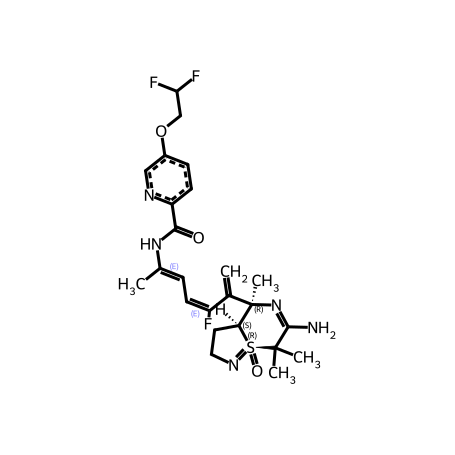 C=C(/C(F)=C\C=C(/C)NC(=O)c1ccc(OCC(F)F)cn1)[C@@]1(C)N=C(N)C(C)(C)[S@@]2(=O)=NCC[C@@H]12